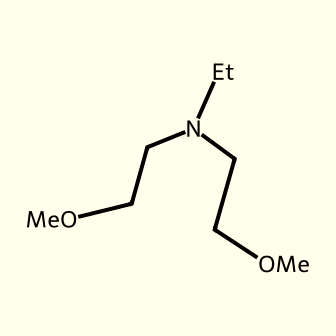 [CH2]CN(CCOC)CCOC